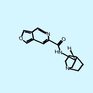 O=C(N[C@H]1CN2CCC1CC2)c1cc2cocc2cn1